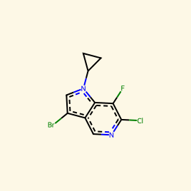 Fc1c(Cl)ncc2c(Br)cn(C3CC3)c12